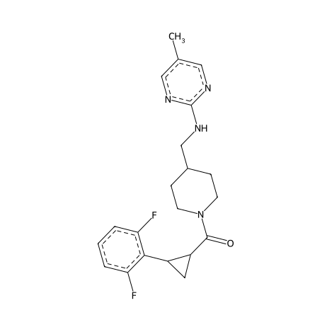 Cc1cnc(NCC2CCN(C(=O)C3CC3c3c(F)cccc3F)CC2)nc1